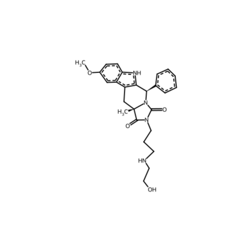 COc1ccc2[nH]c3c(c2c1)C[C@@]1(C)C(=O)N(CCCNCCO)C(=O)N1[C@@H]3c1ccccc1